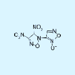 O=[N+]([O-])C1=NON(c2cno[n+]2[O-])C1[N+](=O)[O-]